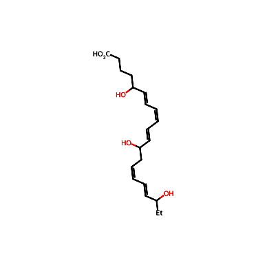 CCC(O)/C=C/C=C\CC(O)/C=C/C=C\C=C\C(O)CCCC(=O)O